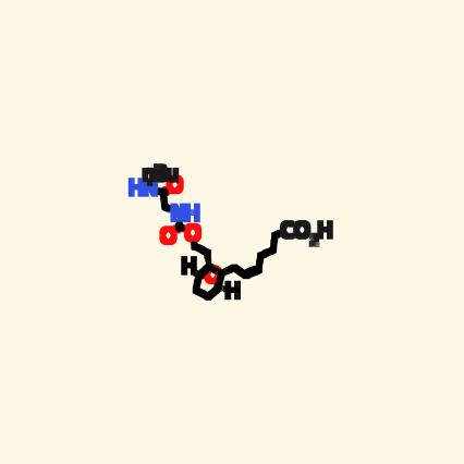 CCCCNC(=O)CNC(=O)OCC[C@H]1[C@@H](C/C=C\CCCC(=O)O)[C@H]2CC[C@@H]1O2